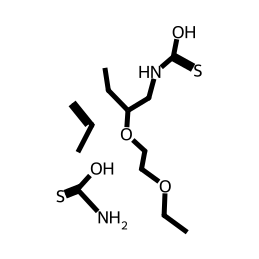 C=CC.CCOCCOC(CC)CNC(O)=S.NC(O)=S